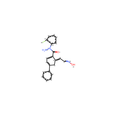 NN(C(=O)C1=CC=C(c2ccccc2)CC1=CC=NO)c1ccccc1F